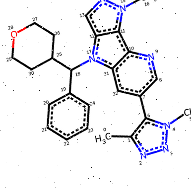 Cc1nnn(C)c1-c1cnc2c3c(cnn3C)n(C(c3ccccc3)C3CCOCC3)c2c1